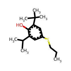 CCCSc1cc(C(C)C)c(O)c(C(C)(C)C)c1